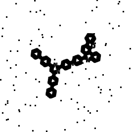 c1ccc(-c2ccc(-c3cc(-c4ccc(-c5ccccc5)cc4)nc(-c4ccc(-c5ccc(-c6nc7ccccc7c7c6ccc6c8ccccc8oc67)cc5)cc4)n3)cc2)cc1